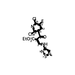 CCOC(=O)/C(=C/Nc1cnsn1)C(=O)c1cc(F)c(Cl)nc1Cl